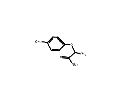 CNC(=O)C(C)Oc1ccc(C=O)cc1